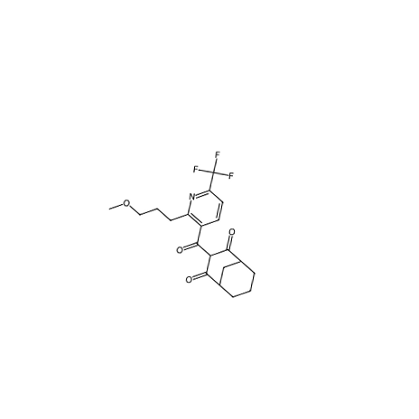 COCCCc1nc(C(F)(F)F)ccc1C(=O)C1C(=O)C2CCCC(C2)C1=O